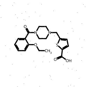 CCOc1ccccc1C(=O)N1CCN(Cc2ccc(C(=O)O)s2)CC1